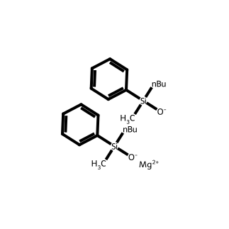 CCCC[Si](C)([O-])c1ccccc1.CCCC[Si](C)([O-])c1ccccc1.[Mg+2]